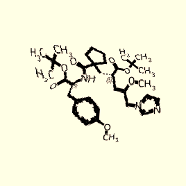 COc1ccc(C[C@H](NC(=O)C2(C[C@@H](CC(Cn3ccnc3)OC)C(=O)OC(C)(C)C)CCCC2)C(=O)OC(C)(C)C)cc1